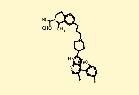 COc1ccc(F)cc1-c1c(F)cnc2[nH]c(C3CCN(CCCc4ccc5c(c4)C(C)N(C(C#N)C=O)CC5)CC3)cc12